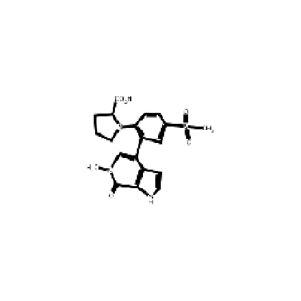 Cn1cc(-c2cc(S(C)(=O)=O)ccc2N2CCCC2C(=O)O)c2cc[nH]c2c1=O